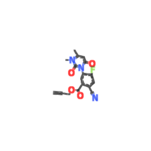 C#CCOC(=O)c1cc(-n2c(=O)cc(C)n(C)c2=O)c(F)cc1C#N